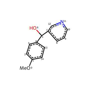 COc1ccc(C(O)c2cccnc2)cc1